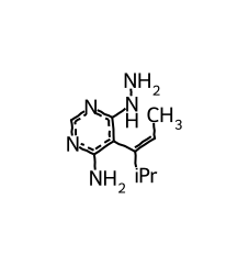 C/C=C(\c1c(N)ncnc1NN)C(C)C